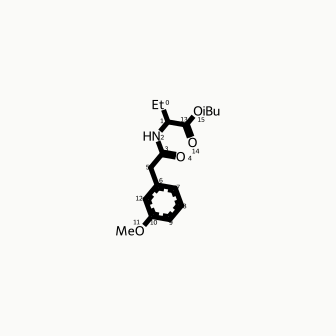 CCC(NC(=O)Cc1cccc(OC)c1)C(=O)OCC(C)C